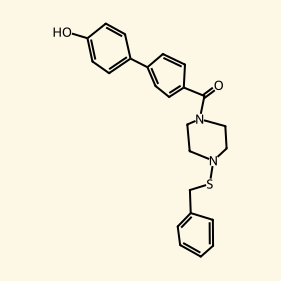 O=C(c1ccc(-c2ccc(O)cc2)cc1)N1CCN(SCc2ccccc2)CC1